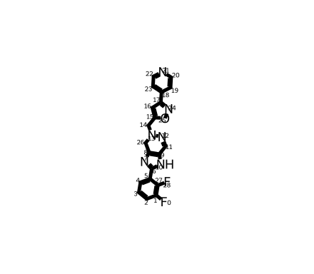 Fc1cccc(-c2nc3c([nH]2)C=NN(Cc2cc(-c4ccncc4)no2)C3)c1F